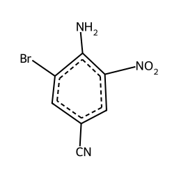 N#Cc1cc(Br)c(N)c([N+](=O)[O-])c1